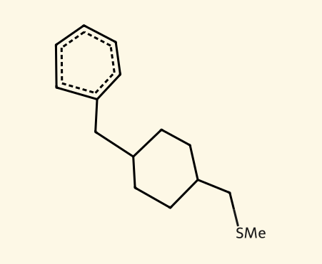 CSCC1CCC(Cc2ccccc2)CC1